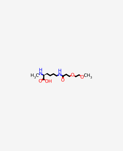 CN[C@@H](CCCCNC(=O)CCOCCOC)C(=O)O